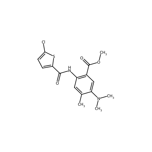 COC(=O)c1cc(N(C)C)c(C)cc1NC(=O)c1ccc(Cl)s1